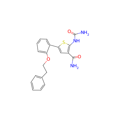 NC(=O)Nc1sc(-c2ccccc2OCCc2ccccc2)cc1C(N)=O